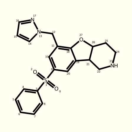 O=S(=O)(c1ccccc1)c1cc(Cn2cccn2)c2c(c1)C1CNCCC1O2